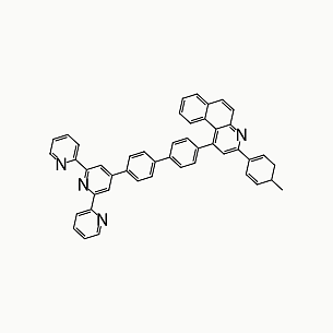 CC1C=CC(c2cc(-c3ccc(-c4ccc(-c5cc(-c6ccccn6)nc(-c6ccccn6)c5)cc4)cc3)c3c(ccc4ccccc43)n2)=CC1